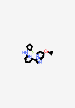 F[C@H]1CCC[C@@H]1Nc1cccc(-c2cnc3cc(OC4CC4)ccn23)n1